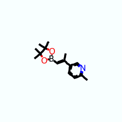 CC(=CB1OC(C)(C)C(C)(C)O1)c1ccc(C)nc1